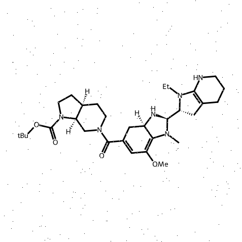 CCN1C2=C(CCCN2)C[C@@H]1[C@@H]1N[C@@H]2CC(C(=O)N3CC[C@@H]4CCN(C(=O)OC(C)(C)C)[C@@H]4C3)=CC(OC)=C2N1C